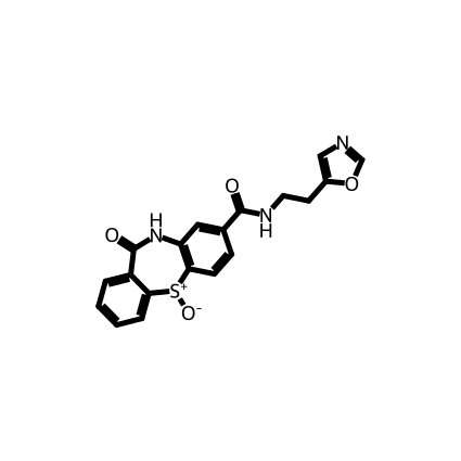 O=C(NCCc1cnco1)c1ccc2c(c1)NC(=O)c1ccccc1[S+]2[O-]